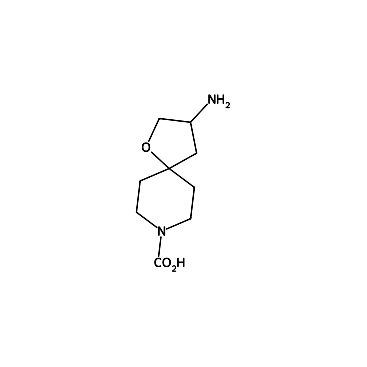 NC1COC2(CCN(C(=O)O)CC2)C1